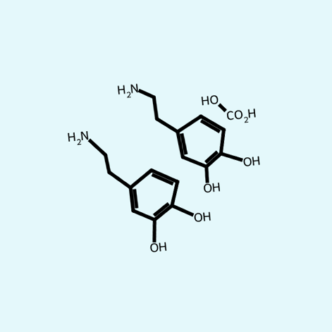 NCCc1ccc(O)c(O)c1.NCCc1ccc(O)c(O)c1.O=C(O)O